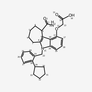 NC(=O)C1CCCCc2c1c1c(OCC(=O)O)cccc1n2Cc1ccccc1C1CCCC1